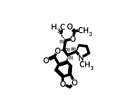 CC[C@H](OC(C)=O)[C@H]1OC(=O)c2cc3c(cc2[C@H]1[C@H]1CCCN1C)OCO3